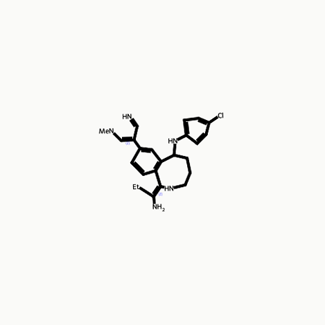 CC/C(N)=C1/NCCCC(Nc2ccc(Cl)cc2)c2cc(/C(C=N)=C/NC)ccc21